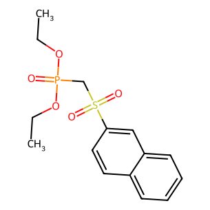 CCOP(=O)(CS(=O)(=O)c1ccc2ccccc2c1)OCC